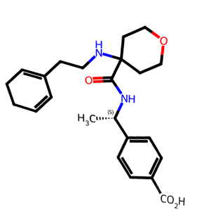 C[C@H](NC(=O)C1(NCCC2=CCCC=C2)CCOCC1)c1ccc(C(=O)O)cc1